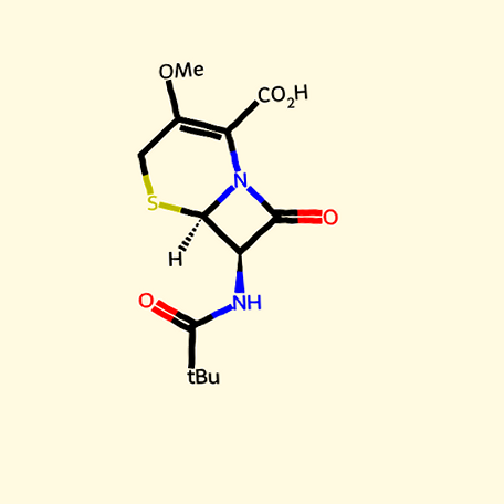 COC1=C(C(=O)O)N2C(=O)[C@@H](NC(=O)C(C)(C)C)[C@H]2SC1